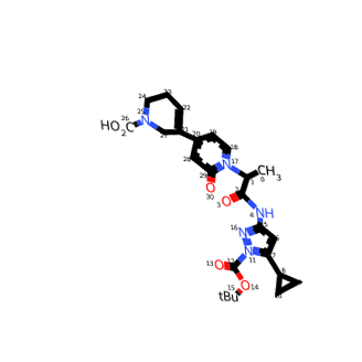 CC(C(=O)Nc1cc(C2CC2)n(C(=O)OC(C)(C)C)n1)n1ccc(C2=CCCN(C(=O)O)C2)cc1=O